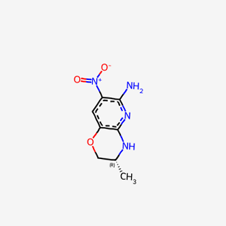 C[C@@H]1COc2cc([N+](=O)[O-])c(N)nc2N1